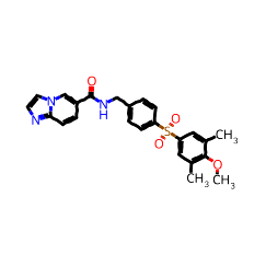 COc1c(C)cc(S(=O)(=O)c2ccc(CNC(=O)c3ccc4nccn4c3)cc2)cc1C